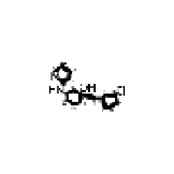 O[C@@]1(C#Cc2cccc(Cl)c2)CCC[C@H](Nc2ccccn2)C1